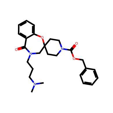 CN(C)CCCN1CC2(CCN(C(=O)OCc3ccccc3)CC2)Oc2ccccc2C1=O